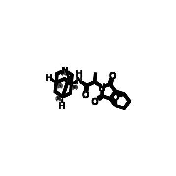 CC(C(=O)N[C@@]12C[C@@H]3C[C@@H](C[N@](C3)C1)C2)N1C(=O)C2C3CCC(O3)C2C1=O